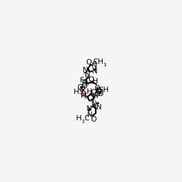 CN1C=Nc2c(ncn2[C@@H]2C[C@@H]3OP(=O)(S)O[C@H]4[C@@H](F)[C@H](n5cnc6c(=O)n(C)cnc65)O[C@@H]4COP(=O)(S)O[C@@H]2[C@@H]3O)CC1=O